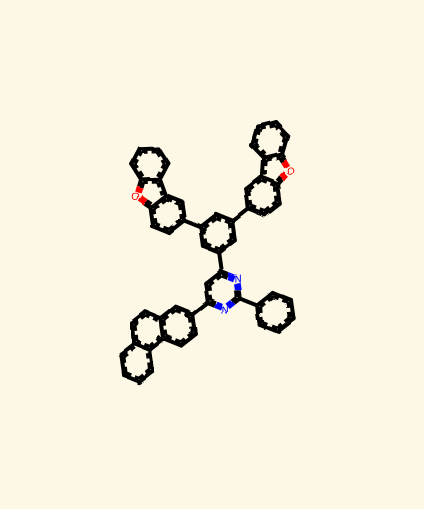 c1ccc(-c2nc(-c3cc(-c4ccc5oc6ccccc6c5c4)cc(-c4ccc5oc6ccccc6c5c4)c3)cc(-c3ccc4c(ccc5ccccc54)c3)n2)cc1